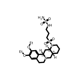 CCOc1cc2c(cc1OCC)[C@@H]1C[C@H]3[C@H](CCCN3S(=O)(=O)CCCNS(N)(=O)=O)CN1CC2